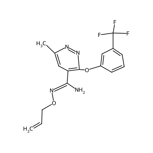 C=CCO/N=C(\N)c1cc(C)nnc1Oc1cccc(C(F)(F)F)c1